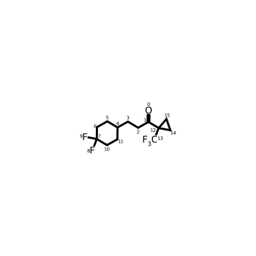 O=C(CCC1CCC(F)(F)CC1)C1(C(F)(F)F)CC1